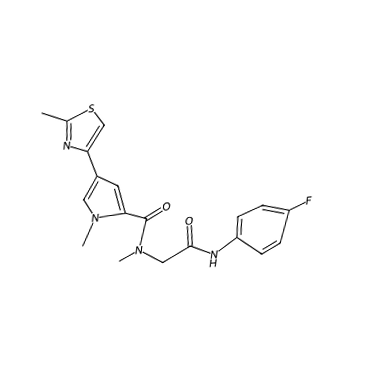 Cc1nc(-c2cc(C(=O)N(C)CC(=O)Nc3ccc(F)cc3)n(C)c2)cs1